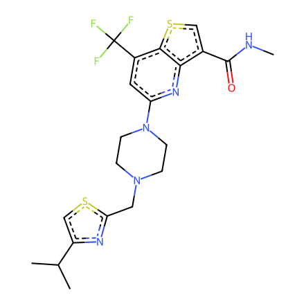 CNC(=O)c1csc2c(C(F)(F)F)cc(N3CCN(Cc4nc(C(C)C)cs4)CC3)nc12